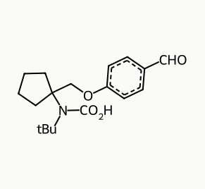 CC(C)(C)N(C(=O)O)C1(COc2ccc(C=O)cc2)CCCC1